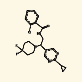 O=C(NCC(c1cnc(C2CC2)nc1)N1CCC(F)(F)CC1)c1ccccc1Cl